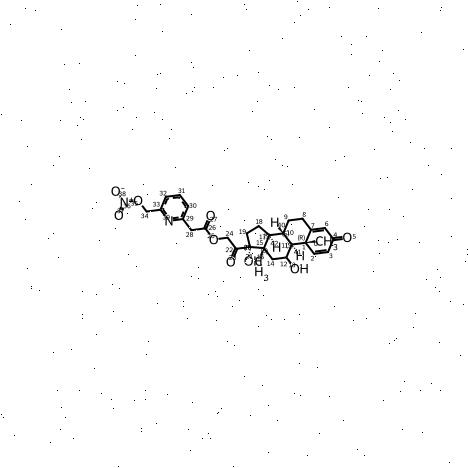 C[C@]12C=CC(=O)C=C1CC[C@@H]1[C@@H]2C(O)C[C@@]2(C)[C@H]1CC[C@]2(O)C(=O)COC(=O)Cc1cccc(CO[N+](=O)[O-])n1